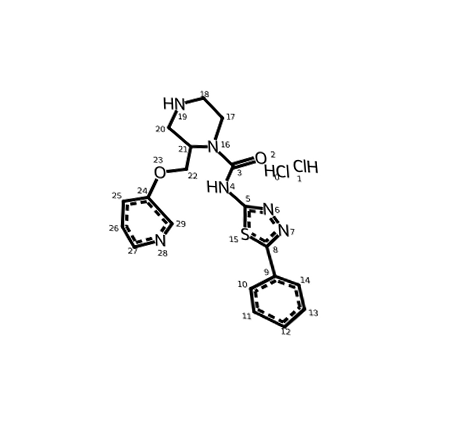 Cl.Cl.O=C(Nc1nnc(-c2ccccc2)s1)N1CCNCC1COc1cccnc1